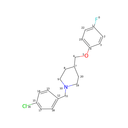 Fc1ccc(OCC2CCN(Cc3ccc(Cl)cc3)CC2)cc1